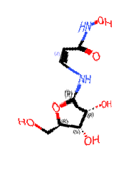 O=C(/C=C\N[C@@H]1O[C@H](CO)[C@@H](O)[C@H]1O)NO